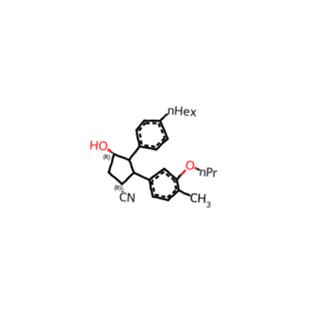 CCCCCCc1ccc(C2C(c3ccc(C)c(OCCC)c3)[C@H](C#N)C[C@H]2O)cc1